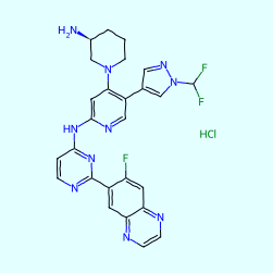 Cl.N[C@H]1CCCN(c2cc(Nc3ccnc(-c4cc5nccnc5cc4F)n3)ncc2-c2cnn(C(F)F)c2)C1